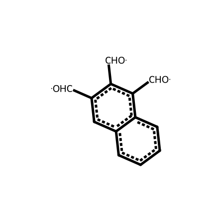 O=[C]c1cc2ccccc2c([C]=O)c1[C]=O